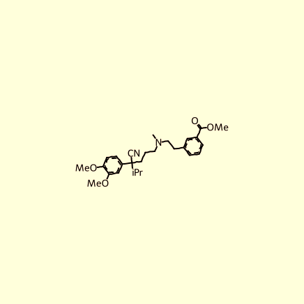 COC(=O)c1cccc(CCN(C)CCCC(C#N)(c2ccc(OC)c(OC)c2)C(C)C)c1